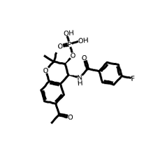 CC(=O)c1ccc2c(c1)[C@H](NC(=O)c1ccc(F)cc1)[C@H](OP(=O)(O)O)C(C)(C)O2